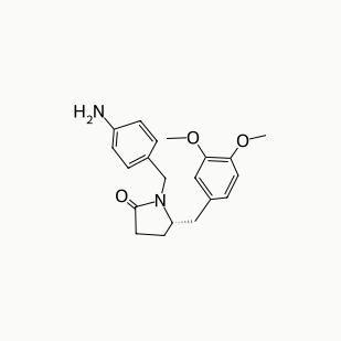 COc1ccc(C[C@@H]2CCC(=O)N2Cc2ccc(N)cc2)cc1OC